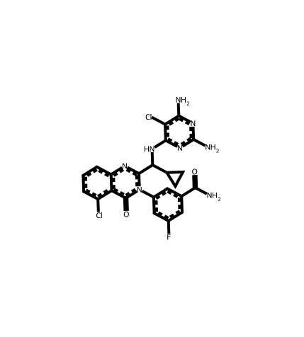 NC(=O)c1cc(F)cc(-n2c(C(Nc3nc(N)nc(N)c3Cl)C3CC3)nc3cccc(Cl)c3c2=O)c1